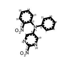 O=[N+]([O-])c1ncc(N(c2ccccc2)c2ccccc2[N+](=O)[O-])cn1